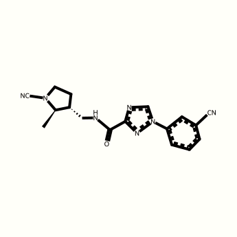 C[C@@H]1[C@@H](CNC(=O)c2ncn(-c3cccc(C#N)c3)n2)CCN1C#N